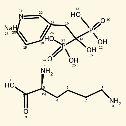 NCCCC[C@H](N)C(=O)O.O=P(O)(O)C(O)(Cc1cccnc1)P(=O)(O)O.[NaH]